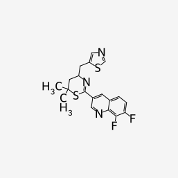 CC1(C)CC(Cc2cncs2)N=C(c2cnc3c(F)c(F)ccc3c2)S1